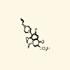 C=CCN1CCN(c2c(F)cc3c(=O)c(C(=O)O)cn4c3c2OCN4C)CC1